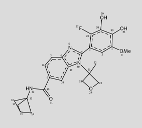 COc1cc(-c2nc3ccc(C(=O)NC45CC(C4)C5)cc3n2C2(C)COC2)c(F)c(O)c1O